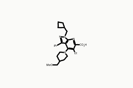 CCc1c(C(=O)O)nc2c(c(C(C)C)nn2CC2CCC2)c1N1CCC(COC)CC1